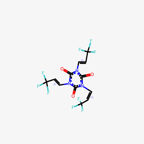 O=c1n(/C=C\C(F)(F)F)c(=O)n(/C=C/C(F)(F)F)c(=O)n1/C=C/C(F)(F)F